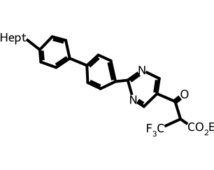 CCCCCCCc1ccc(-c2ccc(-c3ncc(C(=O)C(C(=O)OCC)C(F)(F)F)cn3)cc2)cc1